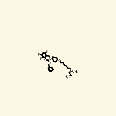 C=CCN(C)CCCCCCO[C@H]1CC[C@H](N(Cc2cc(F)c(F)cc2F)C(=O)OCc2ccccc2)CC1